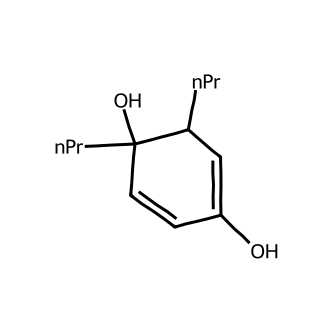 CCCC1C=C(O)C=CC1(O)CCC